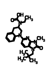 CCN(C(=O)O)C1Cc2ccccc2N(c2ccc3c(n2)n(C)c(=O)n3CC(C)(C)C)C1